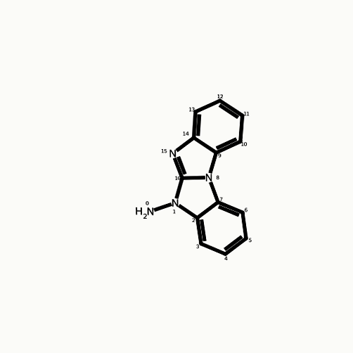 Nn1c2ccccc2n2c3ccccc3nc12